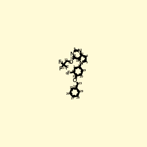 Fc1cc(-n2ccc3ncnc(OCC(F)(F)F)c32)ccc1OCc1ccccc1